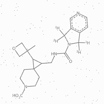 [2H]C1([2H])c2ccncc2C([2H])([2H])N1C(=O)NCC1C(C2(C)COC2)C12CCN(C(=O)O)CC2